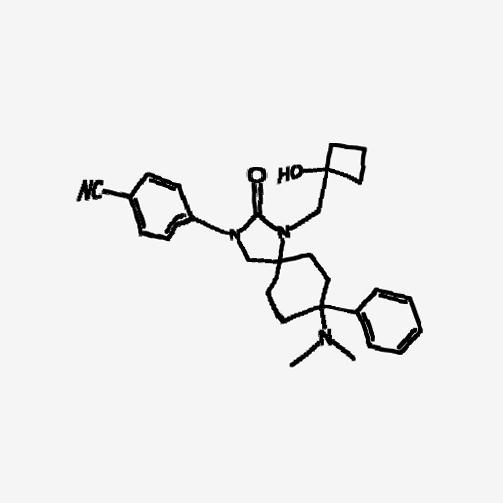 CN(C)C1(c2ccccc2)CCC2(CC1)CN(c1ccc(C#N)cc1)C(=O)N2CC1(O)CCC1